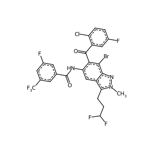 Cn1nc2c(Br)c(C(=O)c3cc(F)ccc3Cl)c(NC(=O)c3cc(F)cc(C(F)(F)F)c3)cc2c1CCC(F)F